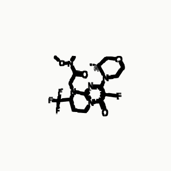 CON(C)C(=O)CN1c2nc(N3CCOC[C@H]3C)c(F)c(=O)n2CCC1C(F)(F)F